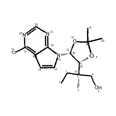 CC[C@](F)(CO)[C@H]1OC(C)(C)O[C@H]1n1ccc2c(Cl)ncnc21